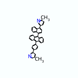 Cc1cncc(-c2ccc(-c3c4ccccc4c(-c4ccc(-c5ccc(C)nc5)c5ccccc45)c4ccccc34)cc2)c1